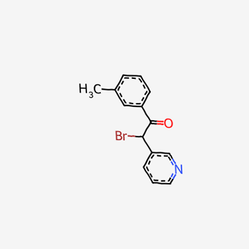 Cc1cccc(C(=O)C(Br)c2cccnc2)c1